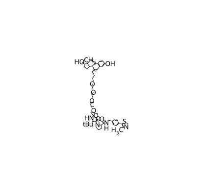 Cc1ncsc1-c1ccc(CNC(=O)C2CCCN2C(=O)C(NC(=O)COCCOCCOCCOCCCC[C@@H]2Cc3cc(O)ccc3C3CCC4(C)C(O)CCC4C32)C(C)(C)C)cc1